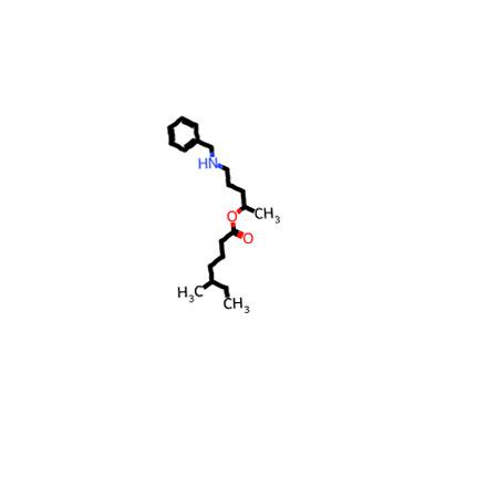 CCC(C)CCCC(=O)OC(C)CCCNCc1ccccc1